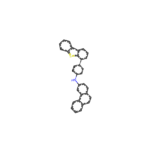 c1ccc2c(c1)ccc1ccc(Nc3ccc(-c4cccc5c4sc4ccccc45)cc3)cc12